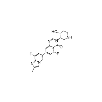 Cc1cn2cc(-c3cc(F)c4c(=O)n([C@@H]5CNCC[C@H]5O)cnc4c3)cc(F)c2n1